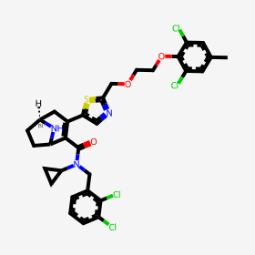 Cc1cc(Cl)c(OCCOCc2ncc(C3=C(C(=O)N(Cc4cccc(Cl)c4Cl)C4CC4)C4CC[C@@H](C3)N4)s2)c(Cl)c1